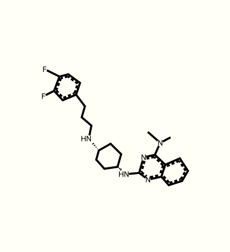 CN(C)c1nc(N[C@H]2CC[C@@H](NCCCc3ccc(F)c(F)c3)CC2)nc2ccccc12